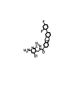 CCc1cc(N)nc(C)c1CNC(=O)c1ccc2c(c1)C1OC2c2ccc(-c3ccc(F)cc3F)cc21